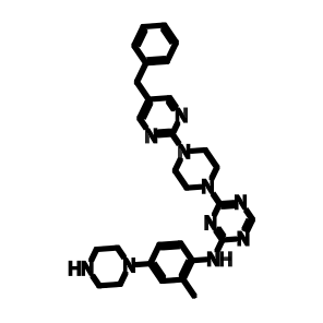 Cc1cc(N2CCNCC2)ccc1Nc1ncnc(N2CCN(c3ncc(Cc4ccccc4)cn3)CC2)n1